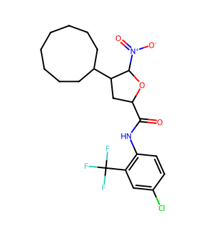 O=C(Nc1ccc(Cl)cc1C(F)(F)F)C1CC(C2CCCCCCCC2)C([N+](=O)[O-])O1